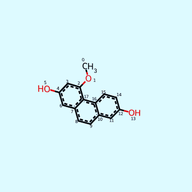 COc1cc(O)cc2ccc3cc(O)ccc3c12